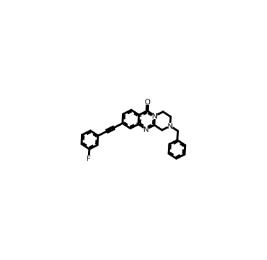 O=c1c2ccc(C#Cc3cccc(F)c3)cc2nc2n1CCN(Cc1ccccc1)C2